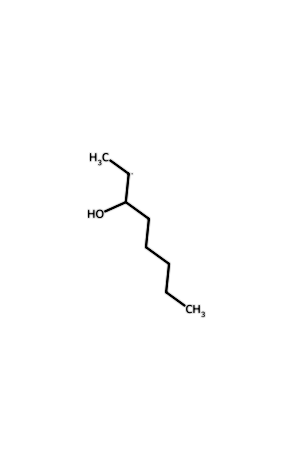 C[CH]C(O)CCCCC